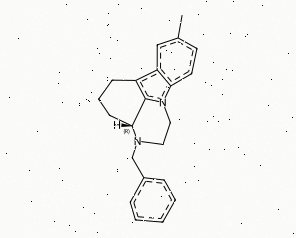 Cc1ccc2c(c1)c1c3n2CCN(Cc2ccccc2)[C@@H]3CCC1